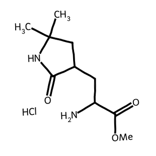 COC(=O)C(N)CC1CC(C)(C)NC1=O.Cl